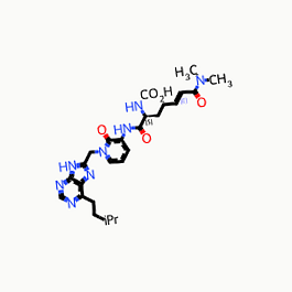 CC(C)CCc1ncnc2[nH]c(Cn3cccc(NC(=O)[C@H](CC/C=C/C(=O)N(C)C)NC(=O)O)c3=O)nc12